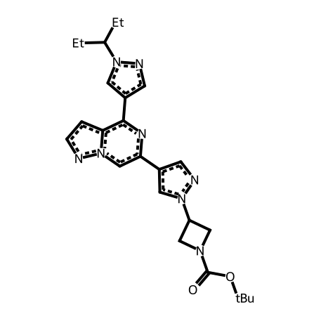 CCC(CC)n1cc(-c2nc(-c3cnn(C4CN(C(=O)OC(C)(C)C)C4)c3)cn3nccc23)cn1